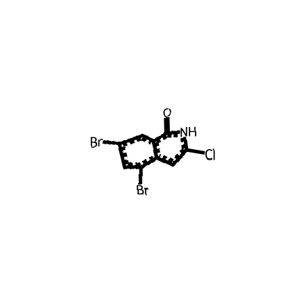 O=c1[nH]c(Cl)cc2c(Br)cc(Br)cc12